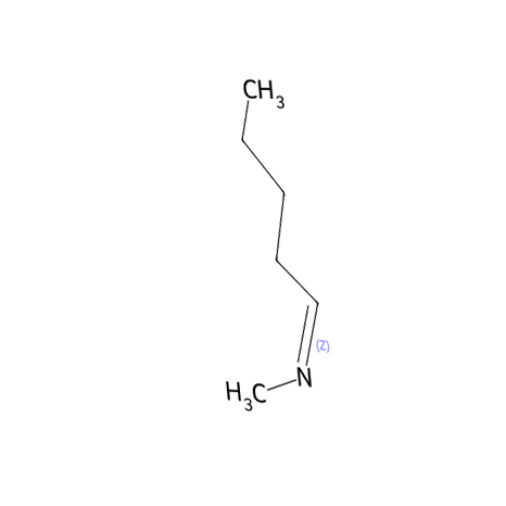 CCCC/C=N\C